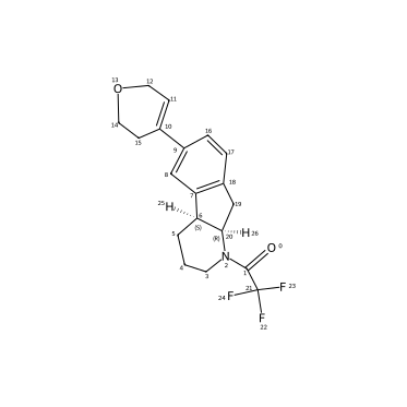 O=C(N1CCC[C@H]2c3cc(C4=CCOCC4)ccc3C[C@H]21)C(F)(F)F